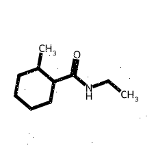 CCNC(=O)C1CCCCC1C